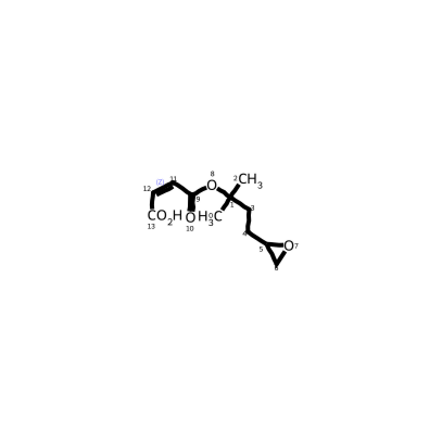 CC(C)(CCC1CO1)OC(=O)/C=C\C(=O)O